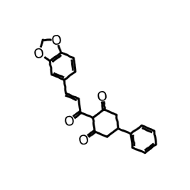 O=C(/C=C/c1ccc2c(c1)OCO2)C1C(=O)CC(c2ccccc2)CC1=O